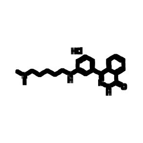 CN(C)CCCCCNc1cccc(-c2n[nH]c(=O)c3ccccc23)c1.Cl